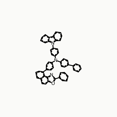 c1ccc(-c2ccc(N(c3ccc(-c4cccc5ccc6oc(-c7ccccc7)nc6c45)cc3)c3ccc(-n4c5ccccc5c5ccccc54)cc3)cc2)cc1